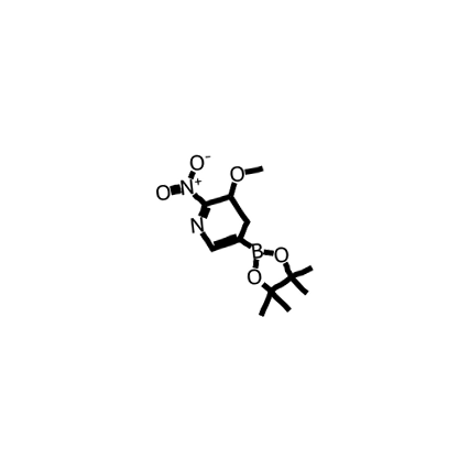 COC1CC(B2OC(C)(C)C(C)(C)O2)=CN=C1[N+](=O)[O-]